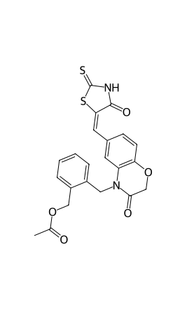 CC(=O)OCc1ccccc1CN1C(=O)COc2ccc(C=C3SC(=S)NC3=O)cc21